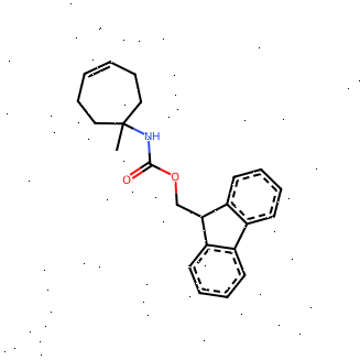 CC1(NC(=O)OCC2c3ccccc3-c3ccccc32)CCC=CCC1